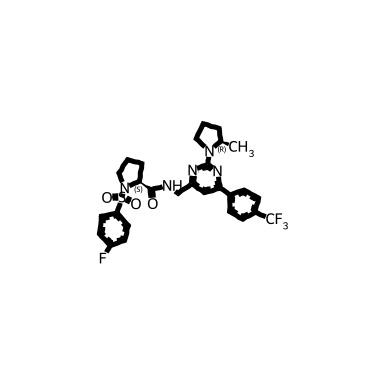 C[C@@H]1CCCN1c1nc(CNC(=O)[C@@H]2CCCN2S(=O)(=O)c2ccc(F)cc2)cc(-c2ccc(C(F)(F)F)cc2)n1